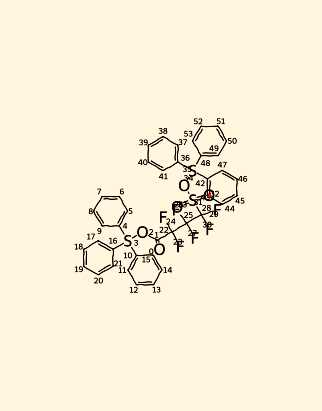 O=C(OS(c1ccccc1)(c1ccccc1)c1ccccc1)C(F)(F)C(F)(F)C(F)(F)S(=O)(=O)OS(c1ccccc1)(c1ccccc1)c1ccccc1